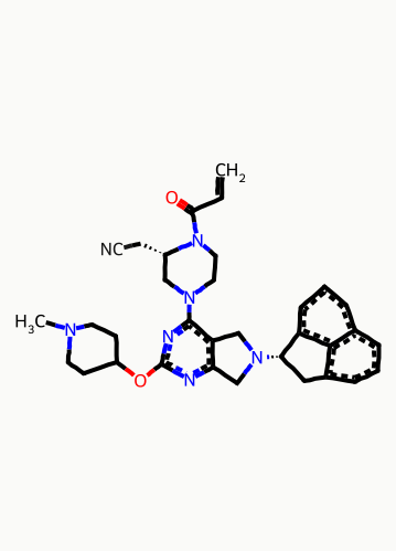 C=CC(=O)N1CCN(c2nc(OC3CCN(C)CC3)nc3c2CN([C@H]2Cc4cccc5cccc2c45)C3)C[C@@H]1CC#N